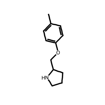 Cc1ccc(OCC2CCCN2)cc1